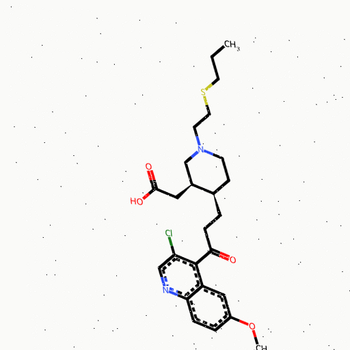 CCCSCCN1CC[C@@H](CCC(=O)c2c(Cl)cnc3ccc(OC)cc23)[C@@H](CC(=O)O)C1